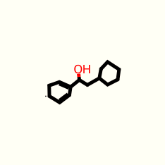 OC(CC1CCCCC1)C1=CC[CH]C=C1